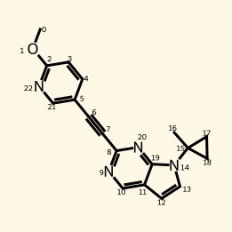 COc1ccc(C#Cc2ncc3ccn(C4(C)CC4)c3n2)cn1